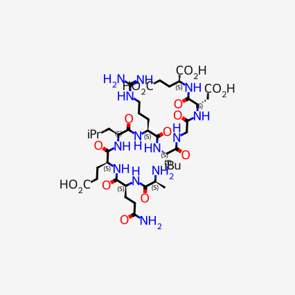 CC[C@H](C)[C@H](NC(=O)[C@H](CCCNC(=N)N)NC(=O)[C@H](CC(C)C)NC(=O)[C@H](CCC(=O)O)NC(=O)[C@H](CCC(N)=O)NC(=O)[C@H](C)N)C(=O)NCC(=O)N[C@@H](CC(=O)O)C(=O)N[C@@H](CCC(=O)O)C(=O)O